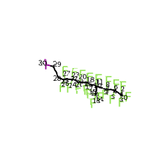 FC(F)(F)C(F)(F)C(F)(F)C(F)(C(F)(F)F)C(F)(F)C(F)(F)C(F)(F)C(F)(F)CCI